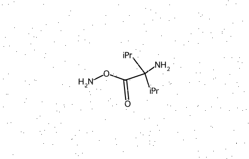 CC(C)C(N)(C(=O)ON)C(C)C